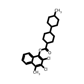 Cc1c(Cl)c(Cl)c(OC(=O)C2CCC(C3CCC(C)CC3)CC2)c2ccccc12